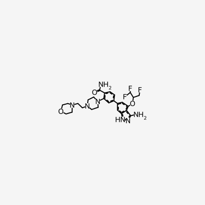 NC(=O)c1ccc(-c2cc(OC(CF)C(F)F)c3c(N)n[nH]c3c2)cc1N1CCN(CCN2CCOCC2)CC1